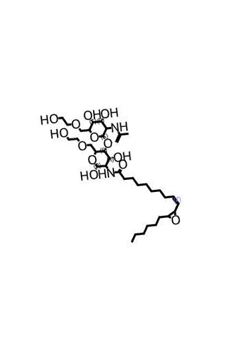 C=C(C)NC1[C@H](O[C@@H]2C(COCCO)O[C@@H](O)C(NC(=O)CCCCCCC/C=C\C3OC3CCCCCC)[C@H]2O)OC(COCCO)[C@@H](O)[C@@H]1O